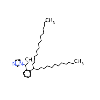 CCCCCCCCCCCCCCC(CCCCCCCCCCCC)c1ccccc1C(CC)n1ccnc1